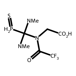 CNC(NC)([PH2]=S)N(CC(=O)O)C(=O)C(F)(F)F